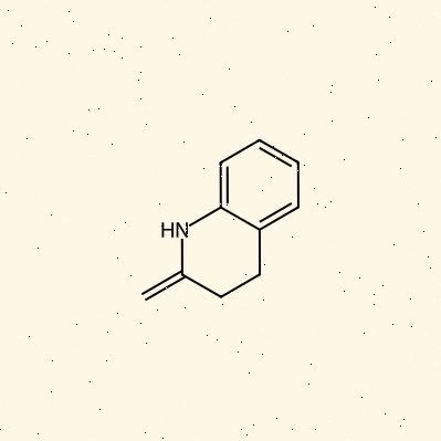 C=C1CCc2ccccc2N1